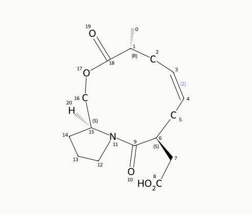 C[C@@H]1C/C=C\C[C@@H](CC(=O)O)C(=O)N2CCC[C@H]2COC1=O